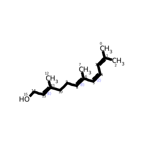 CC(C)=C/C=C\C(C)=C\CC/C(C)=C/CO